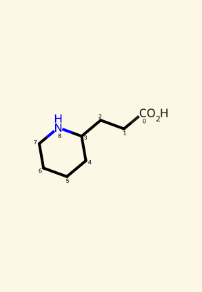 O=C(O)CCC1CCCCN1